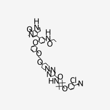 CCC(=O)Nc1ccc(Oc2cccc(OCCOC3CCN(c4ncc(C(=O)NC5C(C)(C)C(Oc6ccc(C#N)c(Cl)c6)C5(C)C)cn4)CC3)c2)c(-c2cn(C)c(=O)c3[nH]ccc23)c1